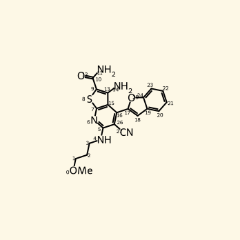 COCCCNc1nc2sc(C(N)=O)c(N)c2c(-c2cc3ccccc3o2)c1C#N